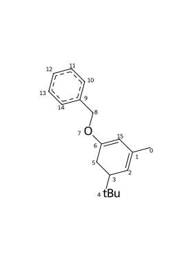 CC1=CC(C(C)(C)C)CC(OCc2ccccc2)=C1